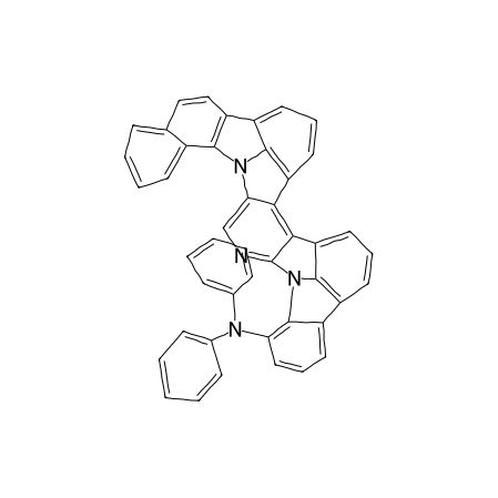 c1ccc(N(c2ccccc2)c2cccc3c4cccc5c6c7c8cccc9c%10ccc%11ccccc%11c%10n(c7cnc6n(c23)c45)c98)cc1